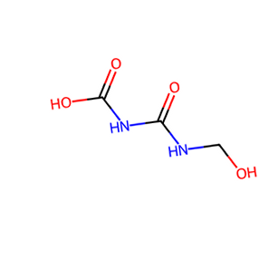 O=C(O)NC(=O)NCO